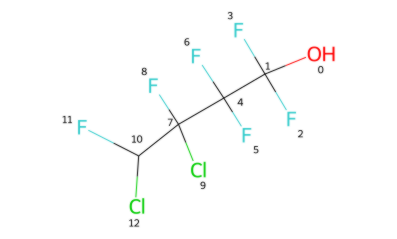 OC(F)(F)C(F)(F)C(F)(Cl)C(F)Cl